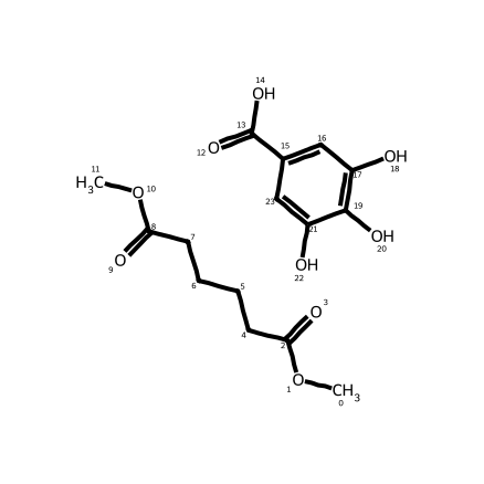 COC(=O)CCCCC(=O)OC.O=C(O)c1cc(O)c(O)c(O)c1